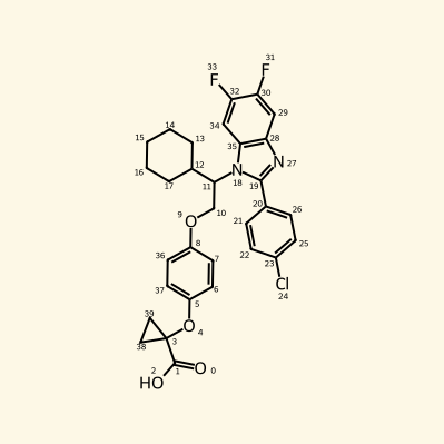 O=C(O)C1(Oc2ccc(OCC(C3CCCCC3)n3c(-c4ccc(Cl)cc4)nc4cc(F)c(F)cc43)cc2)CC1